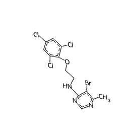 Cc1ncnc(NCCOc2c(Cl)cc(Cl)cc2Cl)c1Br